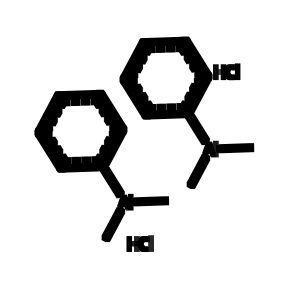 Cl.Cl.[CH3][Al]([CH3])[c]1ccccc1.[CH3][Al]([CH3])[c]1ccccc1